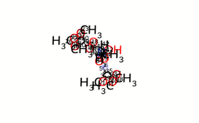 COc1cc(/C=C/C(=O)O[C@H]2[C@@H](O)[C@@H]3C[C@H](OC(=O)c4cc(OC)c(OC)c(OC)c4)C[C@H]2N3C)cc(OC)c1OC